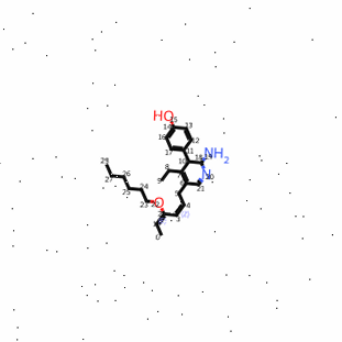 C/C=C(\C=C/CC1=C(CC)C(c2ccc(O)cc2)C(N)N=C1)OCCCCCC